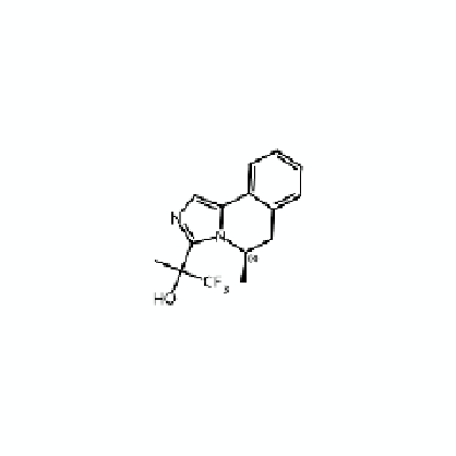 C[C@@H]1Cc2ccccc2-c2cnc(C(C)(O)C(F)(F)F)n21